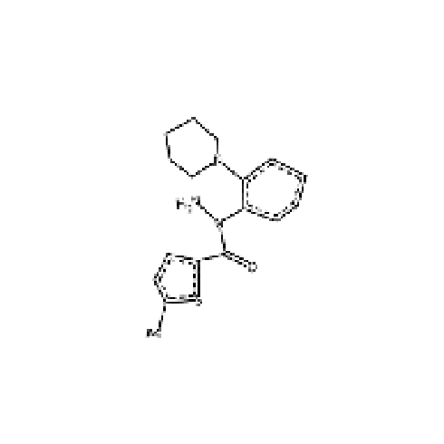 CC(=O)c1ccc(C(=O)N(N)c2ccccc2N2CCCCC2)s1